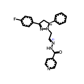 O=C(N/N=C/CN1N=C(c2ccc(F)cc2)C[C@H]1c1ccccc1)c1ccncc1